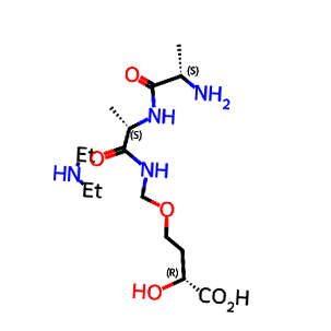 CCNCC.C[C@H](N)C(=O)N[C@@H](C)C(=O)NCOCC[C@@H](O)C(=O)O